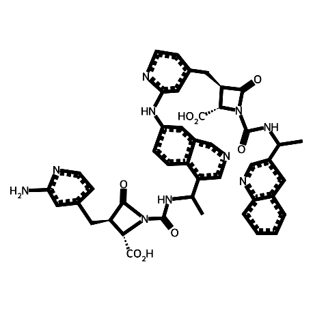 CC(NC(=O)N1C(=O)[C@H](Cc2ccnc(Nc3ccc4c(C(C)NC(=O)N5C(=O)[C@H](Cc6ccnc(N)c6)[C@H]5C(=O)O)cncc4c3)c2)[C@H]1C(=O)O)c1cnc2ccccc2c1